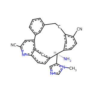 Cn1cncc1[C@]1(N)c2ccc(C#N)c(c2)CCc2cccc(c2)-c2cc(C#N)nc3ccc1cc23